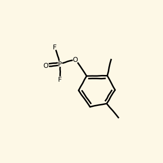 Cc1ccc(OP(=O)(F)F)c(C)c1